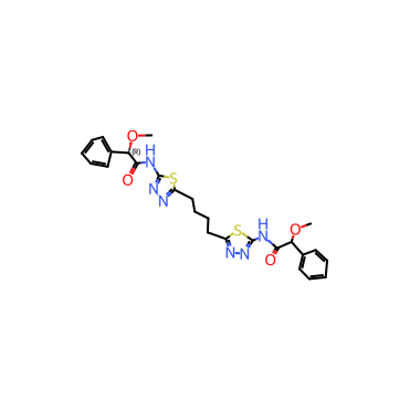 COC(C(=O)Nc1nnc(CCCCc2nnc(NC(=O)[C@H](OC)c3ccccc3)s2)s1)c1ccccc1